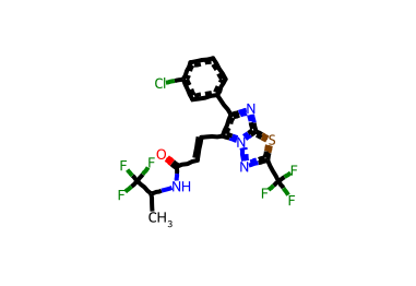 CC(NC(=O)/C=C/c1c(-c2cccc(Cl)c2)nc2sc(C(F)(F)F)nn12)C(F)(F)F